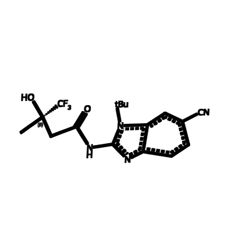 CC(C)(C)n1c(NC(=O)C[C@@](C)(O)C(F)(F)F)nc2ccc(C#N)cc21